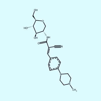 CN1CCN(c2ccc(/C=C(\C#N)C(=O)N[C@H]3CO[C@H](CO)[C@@H](O)[C@@H]3O)cc2)CC1